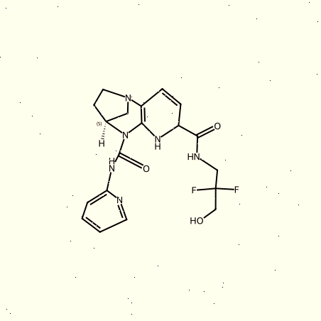 O=C(NCC(F)(F)CO)C1C=CC2=C(N1)N(C(=O)Nc1ccccn1)[C@H]1CCN2C1